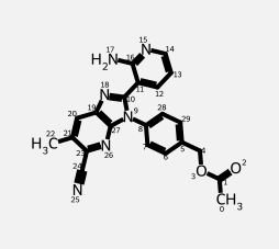 CC(=O)OCc1ccc(-n2c(-c3cccnc3N)nc3cc(C)c(C#N)nc32)cc1